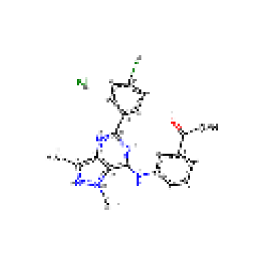 CNC(=O)c1cccc(Nc2nc(-c3ccc(F)cc3)nc3c(C)nn(C)c23)c1.Cl